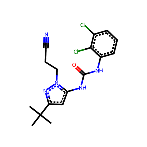 CC(C)(C)c1cc(NC(=O)Nc2cccc(Cl)c2Cl)n(CCC#N)n1